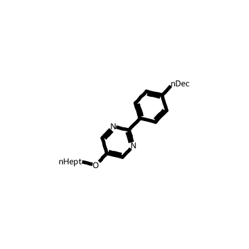 CCCCCCCCCCc1ccc(-c2ncc(OCCCCCCC)cn2)cc1